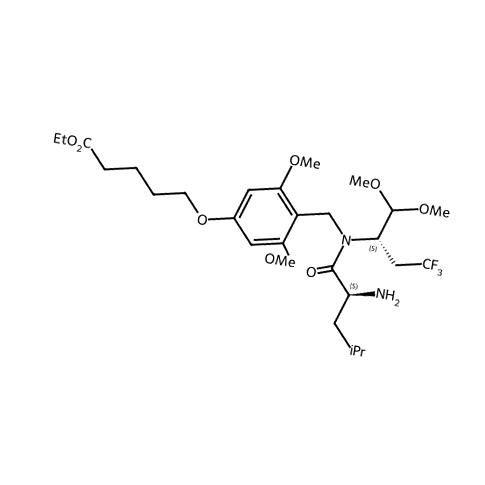 CCOC(=O)CCCCOc1cc(OC)c(CN(C(=O)[C@@H](N)CC(C)C)[C@@H](CC(F)(F)F)C(OC)OC)c(OC)c1